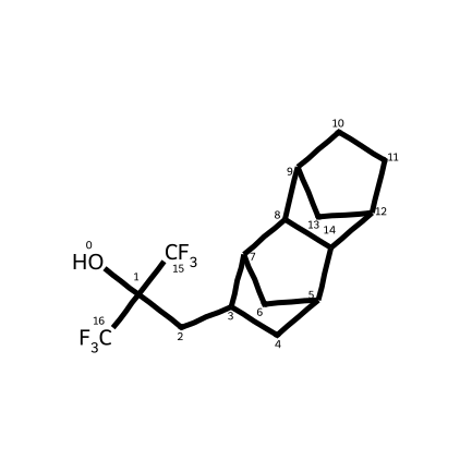 OC(CC1CC2CC1C1C3CCC(C3)C21)(C(F)(F)F)C(F)(F)F